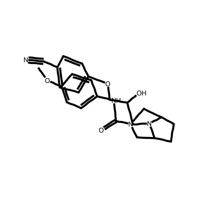 COc1ccc(NC(=O)N2CC3CCC(C2)N3CC(O)COc2ccc(C#N)cc2)cc1